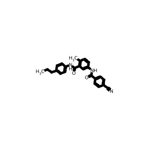 CCCc1ccc(NC(=O)c2cc(NC(=O)c3ccc(C#N)cc3)ccc2C)cc1